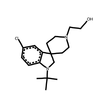 CC(C)(C)N1CC2(CCN(CCO)CC2)c2cc(Cl)ccc21